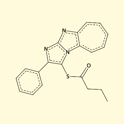 CCCC(=O)Sc1c(-c2ccccc2)nc2nc3cccccc3n12